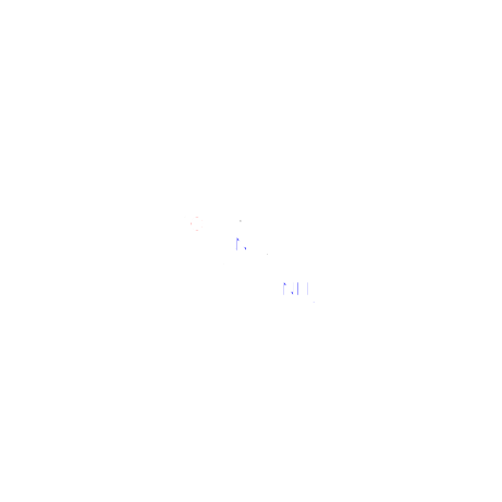 NCC[N+]1CCOCC1